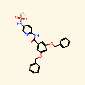 CS(=O)(=O)Nc1ccc(NC(=O)c2cc(OCc3ccccc3)cc(OCc3ccccc3)c2)nc1